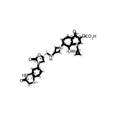 COc1c(N2CC(NC[C@@H]3CN(c4ccc5c(c4)NC(=O)CS5)C(=O)O3)C2)ccc2c(=O)c(OC(=O)O)cn(C3CC3)c12